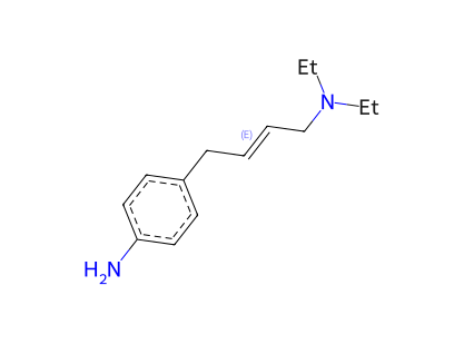 CCN(CC)C/C=C/Cc1ccc(N)cc1